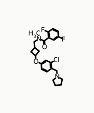 CN(CC1CC(Oc2ccc(CN3CCCC3)c(Cl)c2)C1)C(=O)c1cc(F)ccc1F